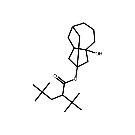 CC(C)(C)CC(C(=O)OC12CC3CCCC(O)(C1)C(C3)C2)C(C)(C)C